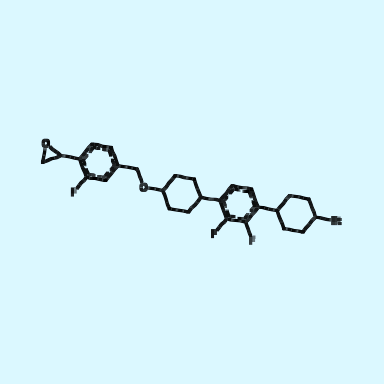 CCC1CCC(c2ccc(C3CCC(OCc4ccc(C5CO5)c(F)c4)CC3)c(F)c2F)CC1